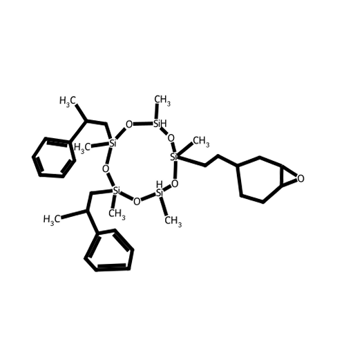 CC(C[Si]1(C)O[SiH](C)O[Si](C)(CCC2CCC3OC3C2)O[SiH](C)O[Si](C)(CC(C)c2ccccc2)O1)c1ccccc1